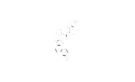 COC(=O)N[C@H](C(=O)N1CCC[C@H]1c1nc2ccc3cc(Br)ccc3c2[nH]1)C(C)C